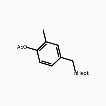 CCCCCCCCc1ccc(OC(C)=O)c(C)c1